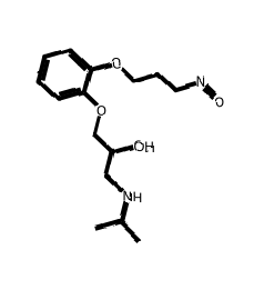 CC(C)NCC(O)COc1ccccc1OCCCN=O